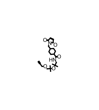 C#CCOCC(C)(C)OC(C)(C)CNC(=O)C1CCC(CN2C(=O)C=CC2=O)CC1